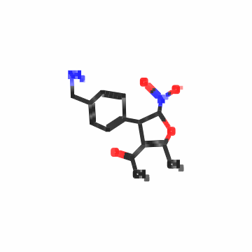 CC(=O)C1=C(C)OC([N+](=O)[O-])C1c1ccc(CN)cc1